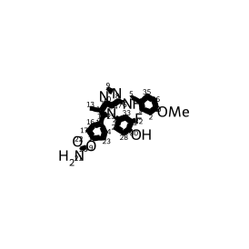 COc1ccc(CNc2ncnc3c(C)c(-c4ccc(OC(N)=O)cc4)n(-c4ccc(O)c(F)c4)c23)cc1